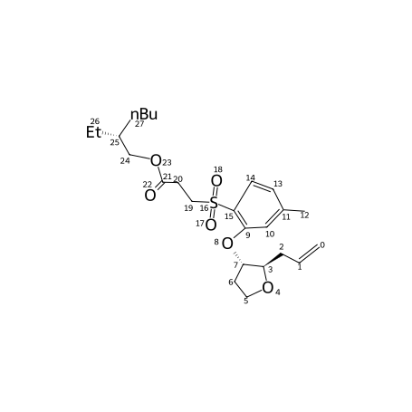 C=CC[C@H]1OCC[C@@H]1Oc1cc(C)ccc1S(=O)(=O)CCC(=O)OC[C@H](CC)CCCC